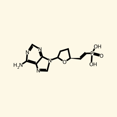 Nc1ncnc2c1ncn2C1CC[C@@H](/C=C/P(=O)(O)O)O1